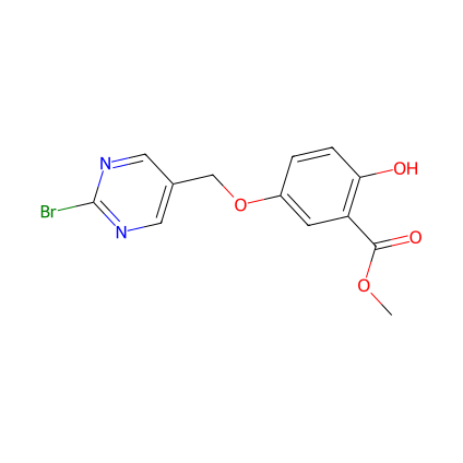 COC(=O)c1cc(OCc2cnc(Br)nc2)ccc1O